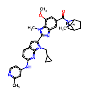 COc1cc(C(=O)N2CC3CCC2[C@@H]3C)cc2nc(-c3cc4ccc(Nc5ccnc(C)c5)nc4n3CC3CC3)n(C)c12